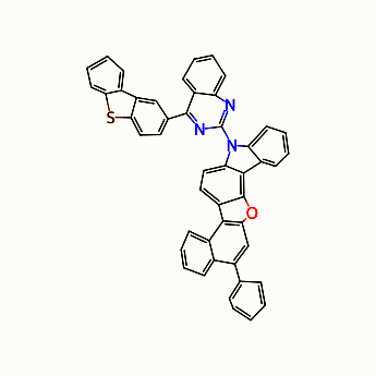 c1ccc(-c2cc3oc4c(ccc5c4c4ccccc4n5-c4nc(-c5ccc6sc7ccccc7c6c5)c5ccccc5n4)c3c3ccccc23)cc1